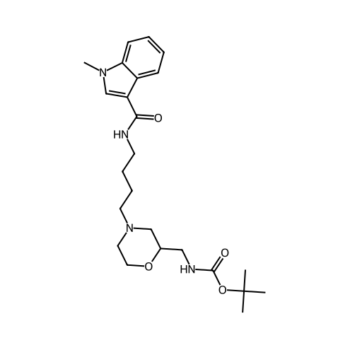 Cn1cc(C(=O)NCCCCN2CCOC(CNC(=O)OC(C)(C)C)C2)c2ccccc21